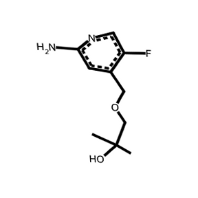 CC(C)(O)COCc1cc(N)ncc1F